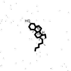 CCCC[C@@H](C)[C@H]1CC[C@H]2[C@@H]3CC=C4C[C@@H](O)CC[C@]4(C)[C@H]3CC[C@]12C